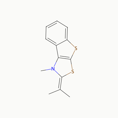 CC(C)=C1Sc2sc3ccccc3c2N1C